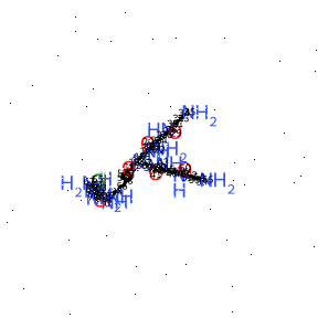 N=C(NCCCCc1ccc(OCCN(CCCNC(=O)[C@@H](N)CCCCNC(=O)CCCCCN)CCCNC(=O)[C@@H](N)CCCCNC(=O)CCCCCN)cc1)NC(=O)c1nc(Cl)c(N)nc1N